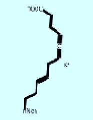 CCCCCCCCCCCC=CCC=C=CCCC(=O)[O-].[K+]